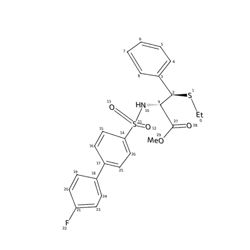 CCS[C@H](c1ccccc1)[C@@H](NS(=O)(=O)c1ccc(-c2ccc(F)cc2)cc1)C(=O)OC